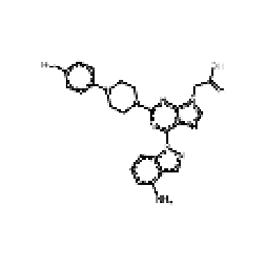 Nc1cccc2c1cnn2-c1nc(N2CCN(c3ccc(O)cc3)CC2)nc2c1ncn2CC(=O)O